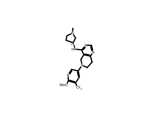 COc1ncc(N2CCc3ncnc(N[C@H]4CCN(C)C4)c3C2)cc1C(F)(F)F